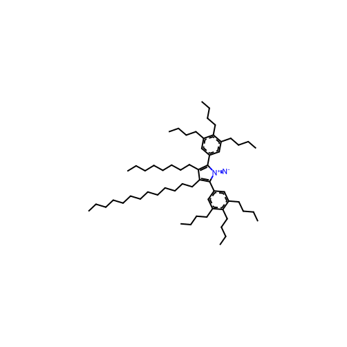 CCCCCCCCCCCCCC1=C(c2cc(CCCC)c(CCCC)c(CCCC)c2)[N+](=[N-])C(c2cc(CCCC)c(CCCC)c(CCCC)c2)=C1CCCCCCCC